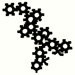 CC1(C)c2ccccc2-c2ccc(N(c3ccc4c(c3)C(C)(C)c3ccccc3-4)c3ccc(-c4cc5c6ccccc6c(-c6cccc(-c7ccccc7)c6)cc5c5ccccc45)c4ccccc34)cc21